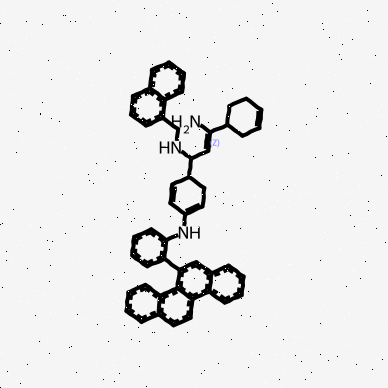 N/C(=C\C(NCc1cccc2ccccc12)C1C=CC(Nc2ccccc2-c2cc3ccccc3c3ccc4ccccc4c23)=CC1)C1CC=CCC1